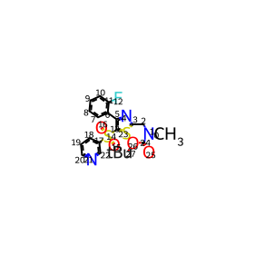 CN(Cc1nc(-c2ccccc2F)c(S(=O)(=O)c2cccnc2)s1)C(=O)OC(C)(C)C